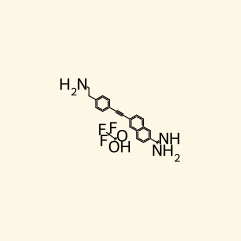 N=C(N)c1ccc2cc(C#Cc3ccc(CCN)cc3)ccc2c1.O=C(O)C(F)(F)F